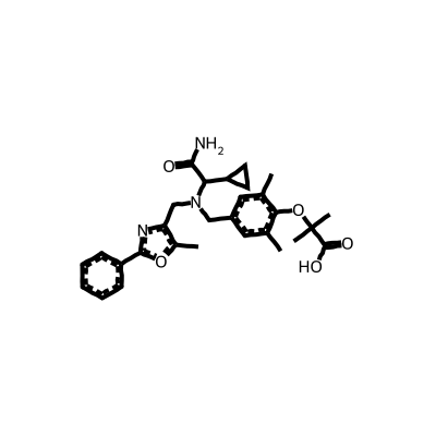 Cc1cc(CN(Cc2nc(-c3ccccc3)oc2C)C(C(N)=O)C2CC2)cc(C)c1OC(C)(C)C(=O)O